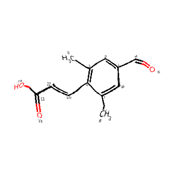 Cc1cc(C=O)cc(C)c1C=CC(=O)O